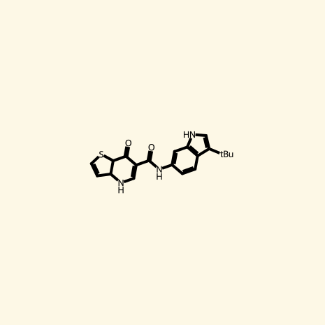 CC(C)(C)c1c[nH]c2cc(NC(=O)C3=CNC4C=CSC4C3=O)ccc12